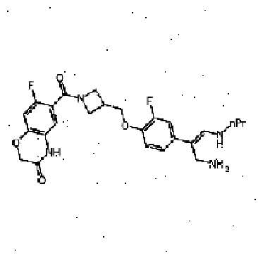 CCCN/C=C(\CN)c1ccc(OCC2CN(C(=O)c3cc4c(cc3F)OCC(=O)N4)C2)c(F)c1